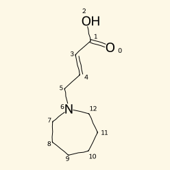 O=C(O)/C=C/CN1CCCCCC1